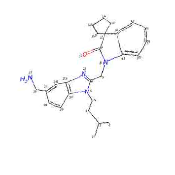 CC(C)CCn1c(CN2C(=O)C3(CCCC3)c3ccccc32)nc2cc(CN)ccc21